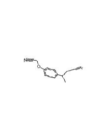 CC(CC#N)c1ccc(OCC#N)cc1